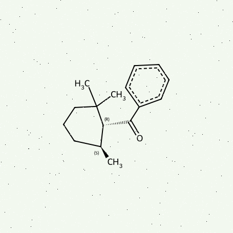 C[C@H]1CCCC(C)(C)[C@@H]1C(=O)c1ccccc1